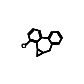 Clc1cccc2c1C1CC1Cc1ccccc1-2